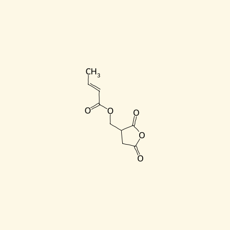 CC=CC(=O)OCC1CC(=O)OC1=O